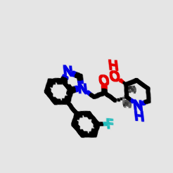 O=C(C[C@H]1NCCC[C@@H]1O)Cn1cnc2cccc(-c3cccc(F)c3)c21